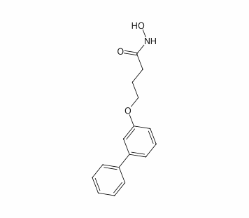 O=C(CCCOc1cccc(-c2ccccc2)c1)NO